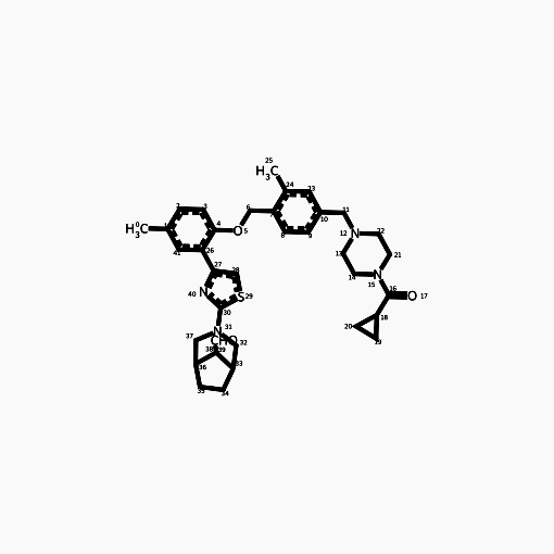 Cc1ccc(OCc2ccc(CN3CCN(C(=O)C4CC4)CC3)cc2C)c(-c2csc(N3CC4CCC(C3)C4C=O)n2)c1